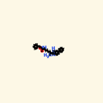 N[C@@H](CCCCCC(=O)NOCc1ccccc1)c1nc2ccc(-c3ccccc3)cc2[nH]1